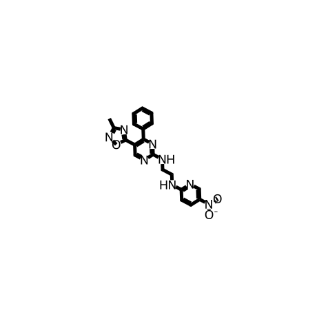 Cc1noc(-c2cnc(NCCNc3ccc([N+](=O)[O-])cn3)nc2-c2ccccc2)n1